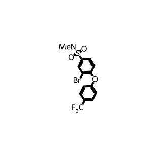 CNS(=O)(=O)c1ccc(Oc2ccc(C(F)(F)F)cc2)c(Br)c1